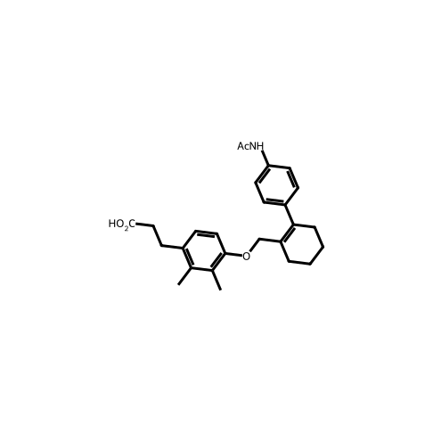 CC(=O)Nc1ccc(C2=C(COc3ccc(CCC(=O)O)c(C)c3C)CCCC2)cc1